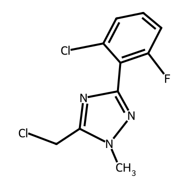 Cn1nc(-c2c(F)cccc2Cl)nc1CCl